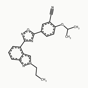 CCCn1cc2c(-c3noc(-c4ccc(OC(C)C)c(C#N)c4)n3)cccc2n1